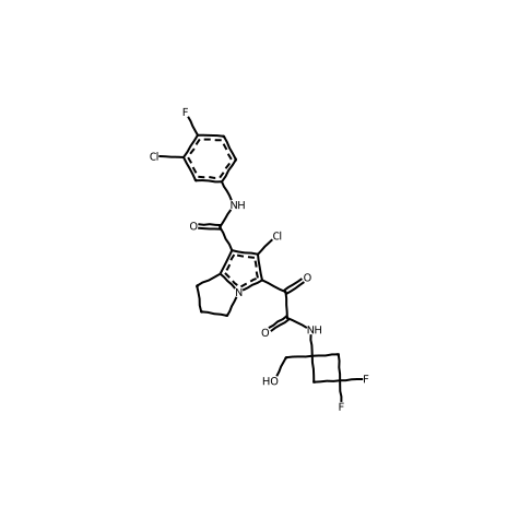 O=C(NC1(CO)CC(F)(F)C1)C(=O)c1c(Cl)c(C(=O)Nc2ccc(F)c(Cl)c2)c2n1CCC2